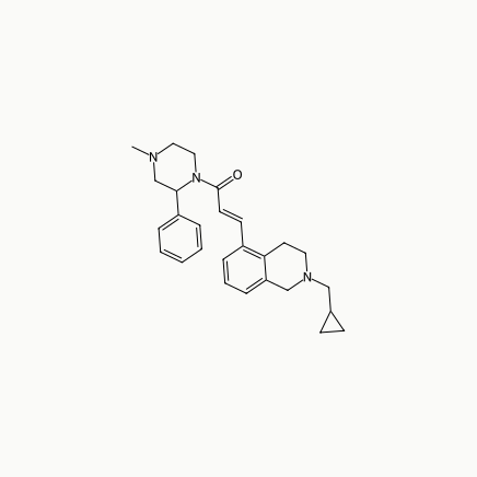 CN1CCN(C(=O)/C=C/c2cccc3c2CCN(CC2CC2)C3)C(c2ccccc2)C1